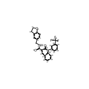 O=C(NCc1ccc2c(c1)CCO2)c1cc2ccccc2n(-c2cccc(C(F)(F)F)c2)c1=O